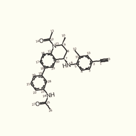 C#Cc1ccc(N[C@@H]2C[C@H](C)N(C(C)=O)c3ccc(-c4cccc(NC(C)=O)c4)cc32)c(C)c1